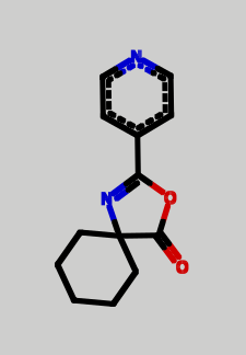 O=C1OC(c2ccncc2)=NC12CCCCC2